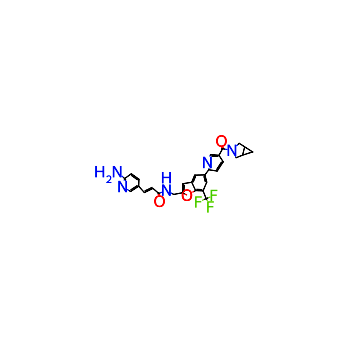 Nc1ccc(C=CC(=O)NCc2cc3cc(-c4ccc(C(=O)N5CC6CC6C5)cn4)cc(C(F)(F)F)c3o2)cn1